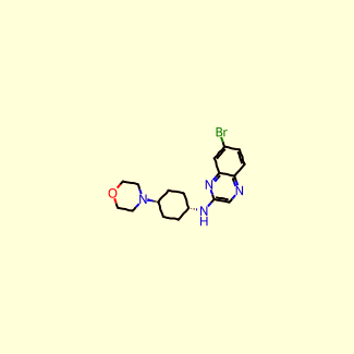 Brc1ccc2ncc(N[C@H]3CC[C@H](N4CCOCC4)CC3)nc2c1